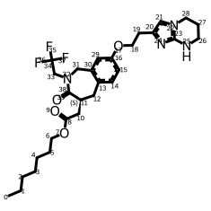 CCCCCCCOC(=O)C[C@@H]1Cc2ccc(OCCc3cn4c(n3)NCCC4)cc2CN(CC(F)(F)F)C1=O